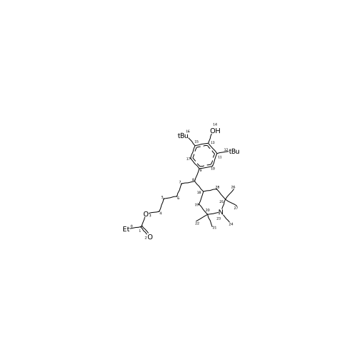 CCC(=O)OCCCCC(c1cc(C(C)(C)C)c(O)c(C(C)(C)C)c1)C1CC(C)(C)N(C)C(C)(C)C1